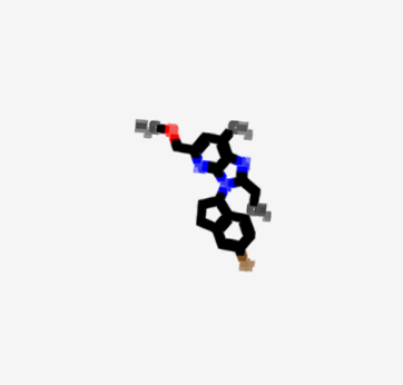 CCc1nc2c(C)cc(COC)nc2n1C1CCc2cc(Br)ccc21